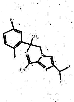 CC1(c2cc(Br)ccc2F)Cn2cc(C(F)F)nc2C(N)=N1